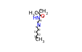 C=C(C)C(=O)NCC=NCCCCCC